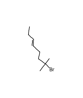 CC/C=C/CCC(C)(C)Br